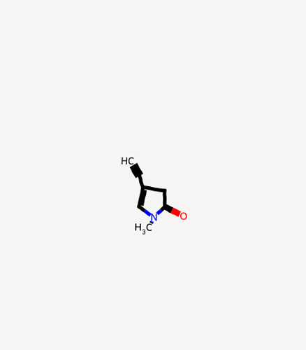 C#CC1=CN(C)C(=O)C1